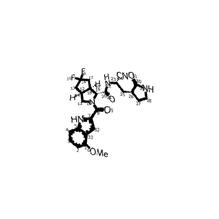 COc1cccc2[nH]c(C(=O)N3C[C@H]4CC(F)(F)C[C@H]4[C@@H]3C(=O)N[C@H](C#N)C[C@@H]3CCNC3=O)cc12